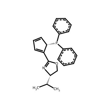 CC(C)[C@H]1COC(C2=CC=C[C@@H]2P(c2ccccc2)c2ccccc2)=N1